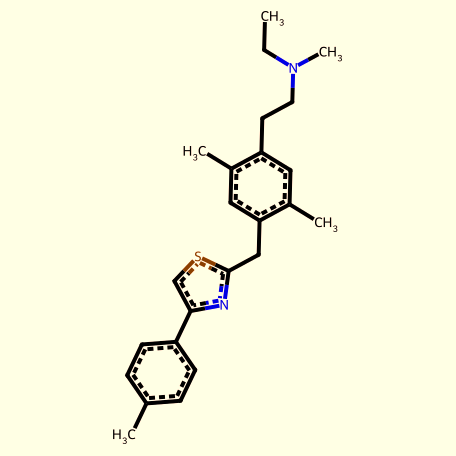 CCN(C)CCc1cc(C)c(Cc2nc(-c3ccc(C)cc3)cs2)cc1C